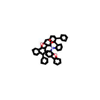 c1ccc(-c2ccccc2-c2ccccc2N(c2cccc3c2oc2ccccc23)c2cccc3oc4c5ccccc5c(-c5ccccc5)cc4c23)cc1